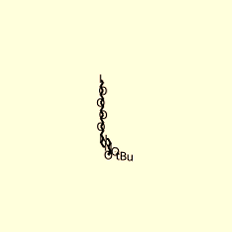 CC(C)(C)OC(=O)N1CCN(CCOCCOCCOCCOCCI)CC1